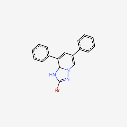 BrC1=NN2C=C(c3ccccc3)C=C(c3ccccc3)C2N1